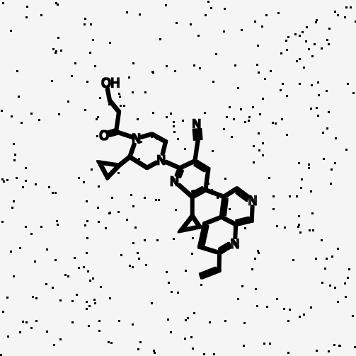 C=Cc1ccc2c(-c3cc(C#N)c(N4CCN(C(=O)CCO)C(C5CC5)C4)nc3C3CC3)cncc2n1